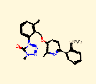 COc1ccccc1-c1ccc(OCc2c(C)cccc2-n2nnn(C)c2=O)c(C)n1